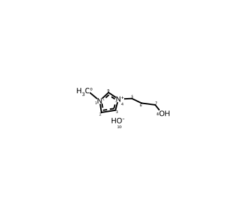 Cn1cc[n+](CCCO)c1.[OH-]